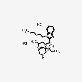 CC[C@@H](O)[C@@]1(N(CC(C)C)C(=O)c2nc3ccccc3n2CCCCOC)CCCNC1.Cl.Cl